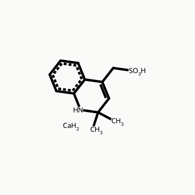 CC1(C)C=C(CS(=O)(=O)O)c2ccccc2N1.[CaH2]